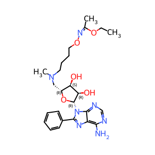 CCOC(C)=NOCCCCN(C)C[C@H]1O[C@@H](n2c(-c3ccccc3)nc3c(N)ncnc32)[C@H](O)[C@@H]1O